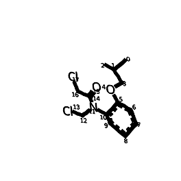 CC(C)COc1ccccc1N(CCl)C(=O)CCl